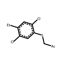 CCc1cc(Cl)c(SCC(C)=O)cc1Cl